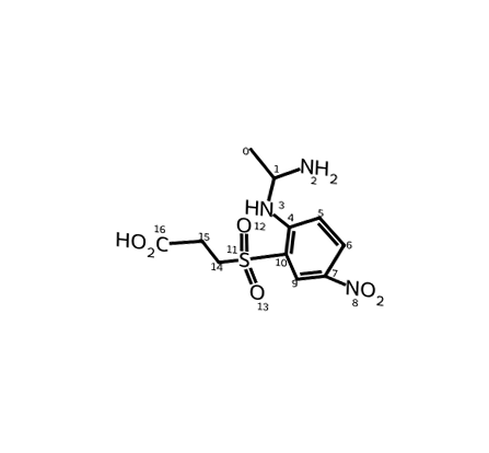 CC(N)Nc1ccc([N+](=O)[O-])cc1S(=O)(=O)CCC(=O)O